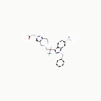 O=C(O)Cn1cc2c(n1)CCN(CC(O)(c1cn(Cc3ccccc3)c3cc([N+](=O)[O-])ccc13)C(F)(F)F)C2